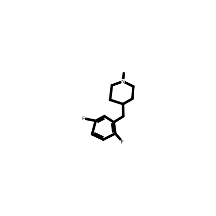 CN1CCC(Cc2cc(F)ccc2F)CC1